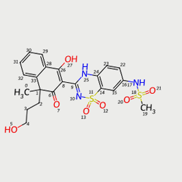 CC1(CCCO)C(=O)C(C2=NS(=O)(=O)c3cc(NS(C)(=O)=O)ccc3N2)=C(O)c2ccccc21